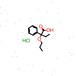 CCCOC(CC)(C(=O)O)c1ccccc1.Cl